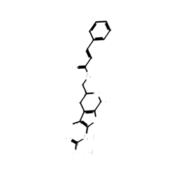 O=C(C=Cc1ccccc1)NCC1Cc2c(sc(NC(=O)C(=O)O)c2C(=O)O)CO1